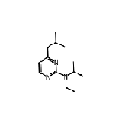 CCN(c1nccc(CC(C)C)n1)C(C)C